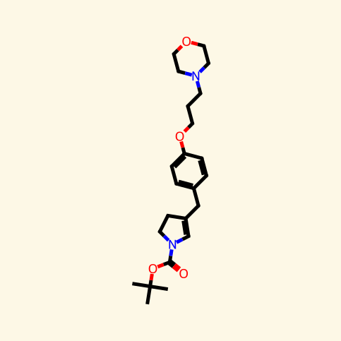 CC(C)(C)OC(=O)N1C=C(Cc2ccc(OCCCN3CCOCC3)cc2)CC1